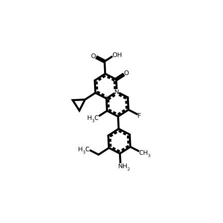 CCc1cc(-c2c(F)cn3c(=O)c(C(=O)O)cc(C4CC4)c3c2C)cc(C)c1N